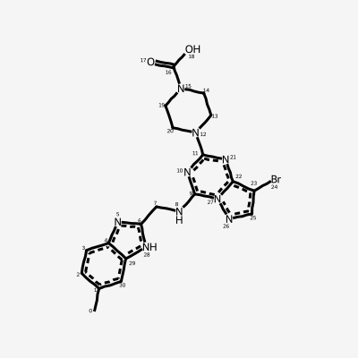 Cc1ccc2nc(CNc3nc(N4CCN(C(=O)O)CC4)nc4c(Br)cnn34)[nH]c2c1